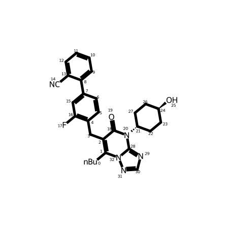 CCCCc1c(Cc2ccc(-c3ccccc3C#N)cc2F)c(=O)n([C@H]2CC[C@H](O)CC2)c2ncnn12